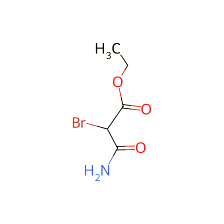 CCOC(=O)C(Br)C(N)=O